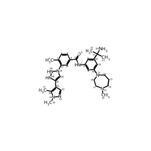 Cc1ccc(C(=O)Nc2cc(N3CCCN(C)CC3)cc(C(C)(C)N)c2)cc1N1C=C(c2cnn(C)c2C)NN1